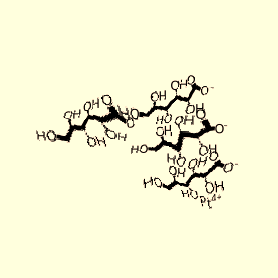 O=C([O-])[C@H](O)[C@@H](O)[C@H](O)[C@H](O)CO.O=C([O-])[C@H](O)[C@@H](O)[C@H](O)[C@H](O)CO.O=C([O-])[C@H](O)[C@@H](O)[C@H](O)[C@H](O)CO.O=C([O-])[C@H](O)[C@@H](O)[C@H](O)[C@H](O)CO.[Pt+4]